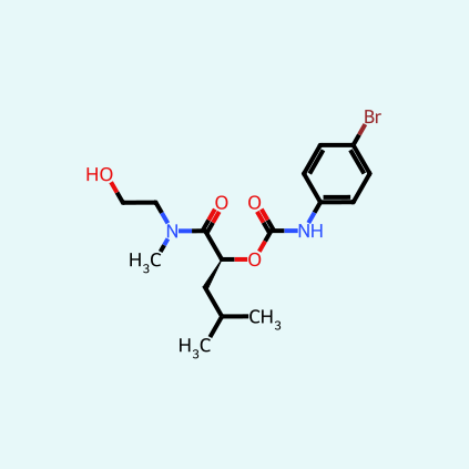 CC(C)C[C@H](OC(=O)Nc1ccc(Br)cc1)C(=O)N(C)CCO